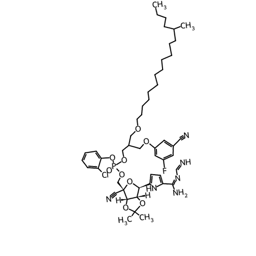 CCCCC(C)CCCCCCCCCCCCOCC(COc1cc(F)cc(C#N)c1)COP(=O)(OC[C@@]1(C#N)O[C@@H](c2ccc(/C(N)=N\C=N)[nH]2)[C@@H]2OC(C)(C)O[C@@H]21)Oc1ccccc1Cl